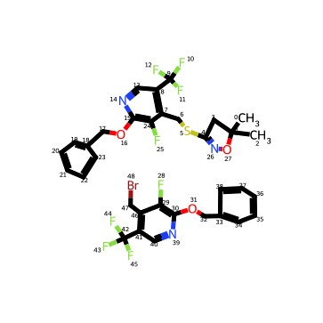 CC1(C)CC(SCc2c(C(F)(F)F)cnc(OCc3ccccc3)c2F)=NO1.Fc1c(OCc2ccccc2)ncc(C(F)(F)F)c1CBr